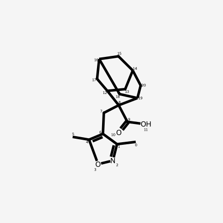 Cc1noc(C)c1CC1(C(=O)O)C2CC3CC(C2)CC1C3